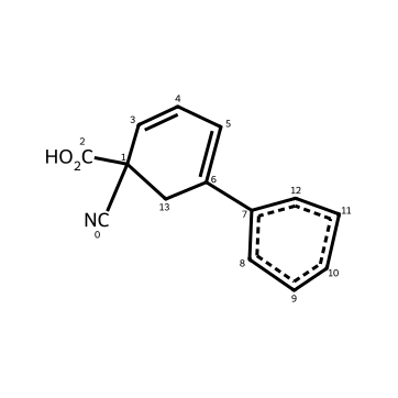 N#CC1(C(=O)O)C=CC=C(c2ccccc2)C1